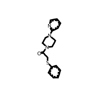 O=C(CSc1cc[c]cc1)N1CCN(c2ccccn2)CC1